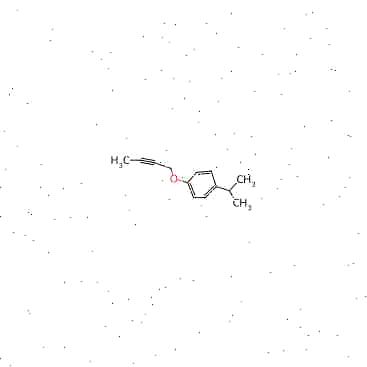 CC#CCOc1ccc(C(C)C)cc1